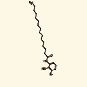 CCCCCCCCCCCCCCCC(=O)Nc1c[c]cc(Br)c1O